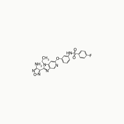 CCn1c(-c2nonc2N)nc2cnc(Oc3cccc(NS(=O)(=O)c4ccc(F)cc4)c3)cc21